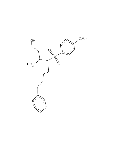 COc1ccc(S(=O)(=O)C(CCCCc2ccccc2)C(CCO)C(=O)O)cc1